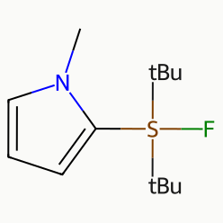 Cn1cccc1S(F)(C(C)(C)C)C(C)(C)C